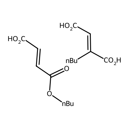 CCCC/C(=C\C(=O)O)C(=O)O.CCCCOC(=O)/C=C/C(=O)O